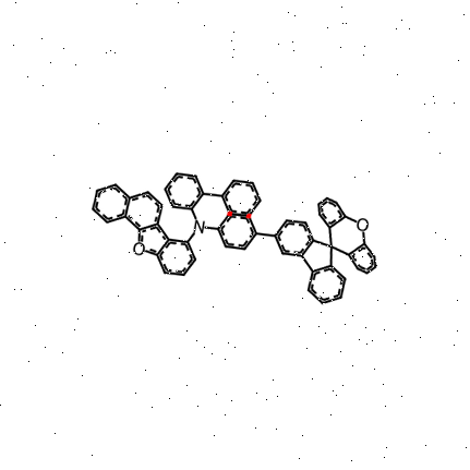 c1ccc(-c2ccccc2N(c2ccc(-c3ccc4c(c3)-c3ccccc3C43c4ccccc4Oc4ccccc43)cc2)c2cccc3oc4c5ccccc5ccc4c23)cc1